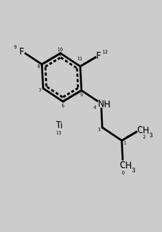 CC(C)CNc1ccc(F)[c]c1F.[Ti]